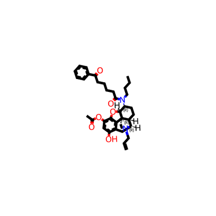 C=CCN1CC[C@]23c4c5c(O)cc(OC(C)=O)c4O[C@H]2[C@H](N(CCCC)C(=O)CCCCC(=O)c2ccccc2)CC[C@H]3[C@H]1C5